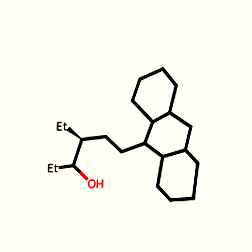 CCC(O)[C@@H](CC)CCC1C2CCCCC2CC2CCCCC21